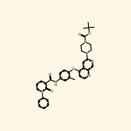 Cc1cc(NC(=O)c2cccn(-c3ccccc3)c2=O)ccc1Oc1ccnc2cnc(N3CCN(C(=O)OC(C)(C)C)CC3)cc12